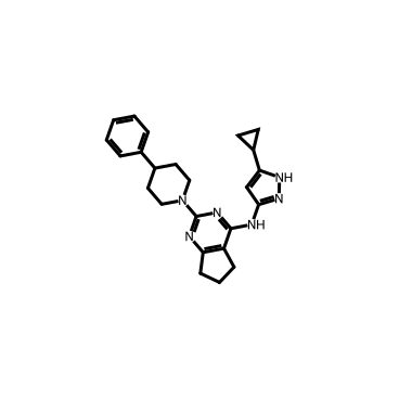 c1ccc(C2CCN(c3nc4c(c(Nc5cc(C6CC6)[nH]n5)n3)CCC4)CC2)cc1